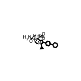 CC(C)(C)C1c2c(OC(N)=O)c(-c3ccc(C4CCCCC4)cc3)c(C3CC3)n2CCN1OC(N)=O